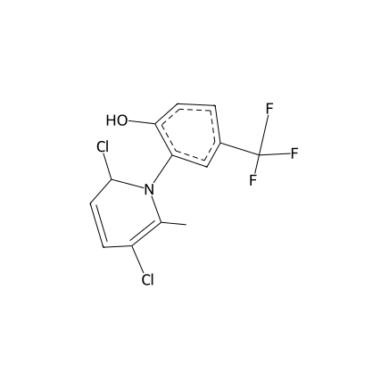 CC1=C(Cl)C=CC(Cl)N1c1cc(C(F)(F)F)ccc1O